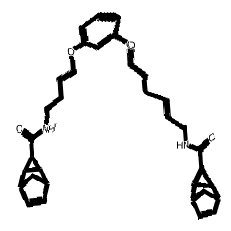 O=C(NCCCCCCOc1cccc(OCCCCNC(=O)C2C3C4C=CC(C4)C23)c1)C1C2C3C=CC(C3)C12